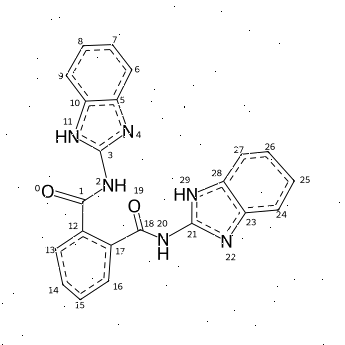 O=C(Nc1nc2ccccc2[nH]1)c1ccccc1C(=O)Nc1nc2ccccc2[nH]1